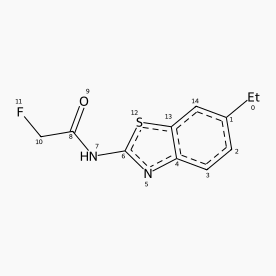 CCc1ccc2nc(NC(=O)CF)sc2c1